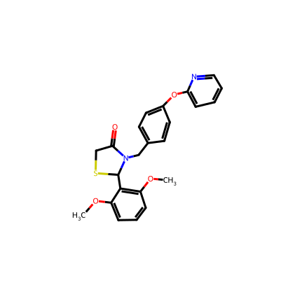 COc1cccc(OC)c1C1SCC(=O)N1Cc1ccc(Oc2ccccn2)cc1